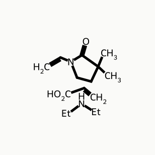 C=CC(=O)O.C=CN1CCC(C)(C)C1=O.CCNCC